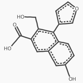 O=C(O)c1cc2cc(O)ccc2c(-c2ccoc2)c1CO